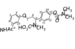 CC(=O)Nc1cccc(OCCC(c2ccc(OC(=O)N(C)C)cc2)N(C)C(=O)O)c1